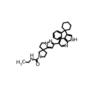 CCNC(=O)N1CCC2(CCn3nc(-c4cnc5[nH]cc(C6(c7ccccc7)CCCCC6)c5c4)cc32)C1